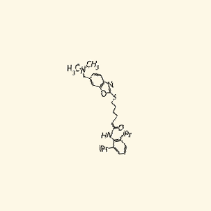 CC(C)c1cccc(C(C)C)c1NC(=O)CCCCCSc1nc2ccc(CN(C)C)cc2o1